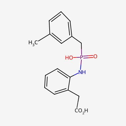 Cc1cccc(CP(=O)(O)Nc2ccccc2CC(=O)O)c1